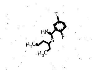 C=CCC(CC)SC(=N)c1cc(F)ccc1F